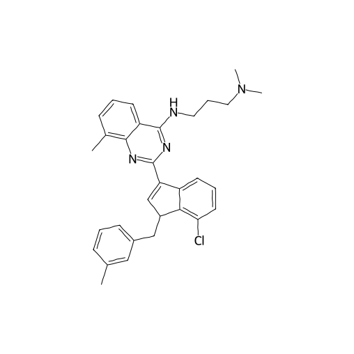 Cc1cccc(CC2C=C(c3nc(NCCCN(C)C)c4cccc(C)c4n3)c3cccc(Cl)c32)c1